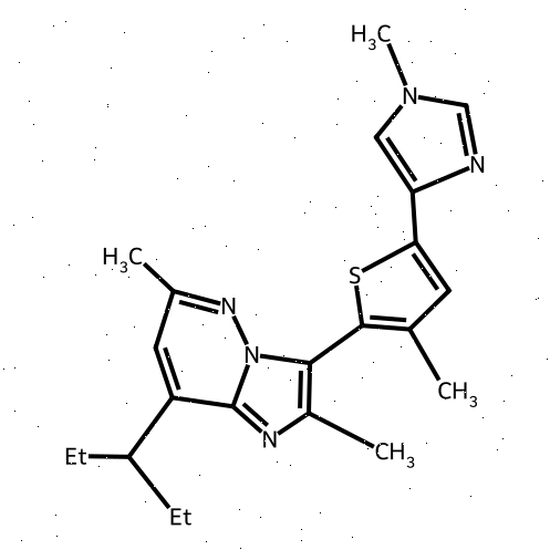 CCC(CC)c1cc(C)nn2c(-c3sc(-c4cn(C)cn4)cc3C)c(C)nc12